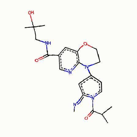 C/N=c1/cc(N2CCOc3cc(C(=O)NCC(C)(C)O)cnc32)ccn1C(=O)C(C)C